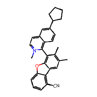 Cc1cc2c(oc3cccc(C#N)c32)c(-c2c3ccc(C4CCCC4)cc3cc[n+]2C)c1C